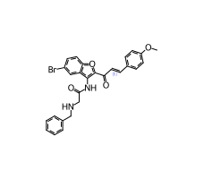 COc1ccc(/C=C/C(=O)c2oc3ccc(Br)cc3c2NC(=O)CNCc2ccccc2)cc1